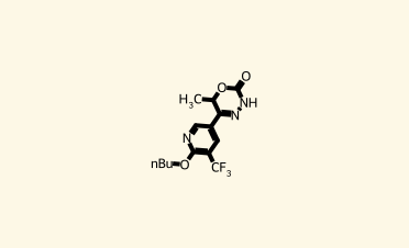 CCCCOc1ncc(C2=NNC(=O)OC2C)cc1C(F)(F)F